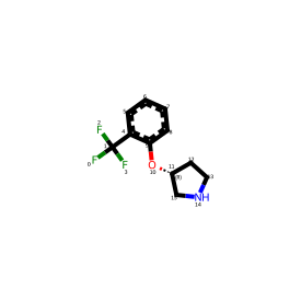 FC(F)(F)c1ccccc1O[C@@H]1CCNC1